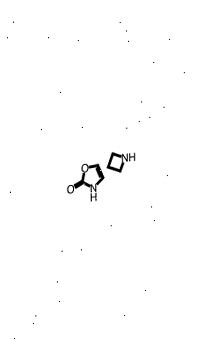 C1CNC1.O=c1[nH]cco1